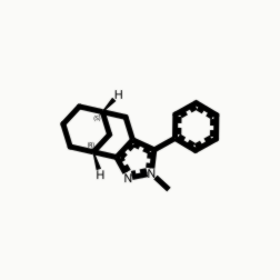 Cn1nc2c(c1-c1ccccc1)C[C@H]1CCC[C@@H]2C1